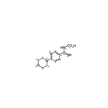 CC(C)[C@H](NC(=O)O)c1ccc(N2CCOCC2)nc1